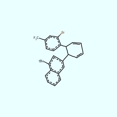 CC(C)(C)c1cc(C2C=CC=CC2c2ccc(C(F)(F)F)cc2Br)cc2ccccc12